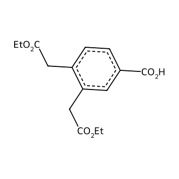 CCOC(=O)Cc1ccc(C(=O)O)cc1CC(=O)OCC